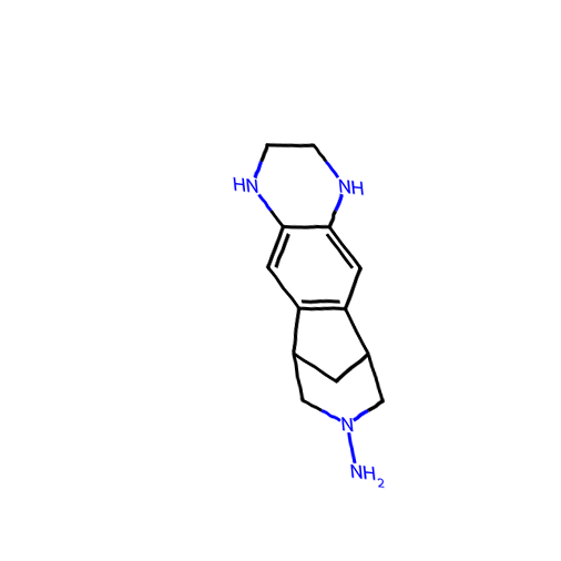 NN1CC2CC(C1)c1cc3c(cc12)NCCN3